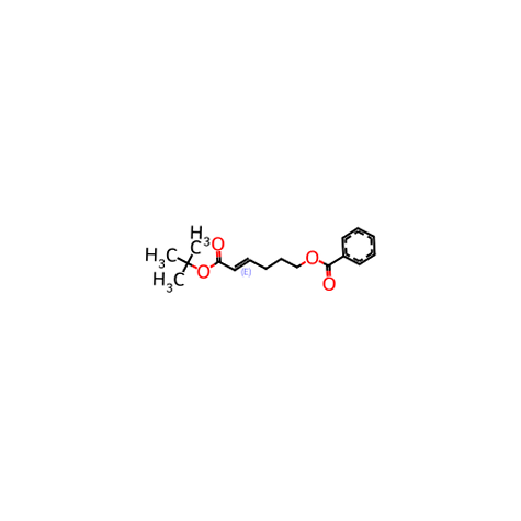 CC(C)(C)OC(=O)/C=C/CCCOC(=O)c1ccccc1